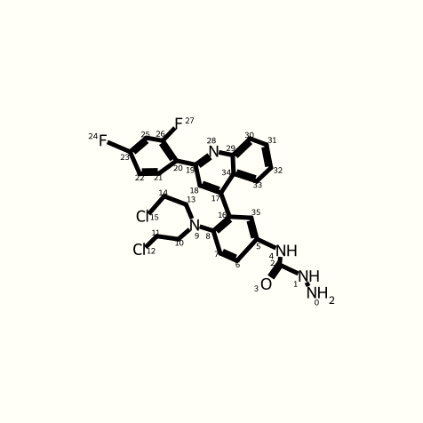 NNC(=O)Nc1ccc(N(CCCl)CCCl)c(-c2cc(-c3ccc(F)cc3F)nc3ccccc23)c1